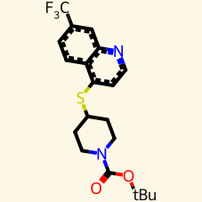 CC(C)(C)OC(=O)N1CCC(Sc2ccnc3cc(C(F)(F)F)ccc23)CC1